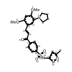 COc1cc(OC)c(N2CCCC2)cc1C=CC(=O)c1ccc(S(=O)(=O)Nc2cc(C)on2)cc1